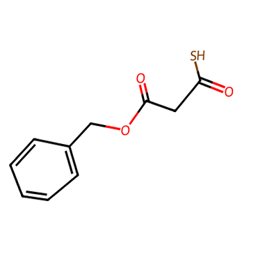 O=C(S)CC(=O)OCc1ccccc1